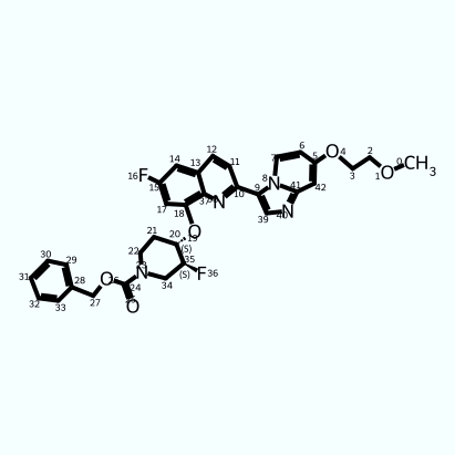 COCCOc1ccn2c(-c3ccc4cc(F)cc(O[C@H]5CCN(C(=O)OCc6ccccc6)C[C@@H]5F)c4n3)cnc2c1